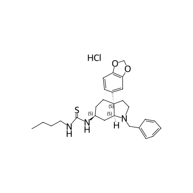 CCCCNC(=S)N[C@H]1CC[C@@]2(c3ccc4c(c3)OCO4)CCN(Cc3ccccc3)[C@H]2C1.Cl